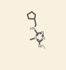 Cn1c(N)nnc1NCC1CCCC1